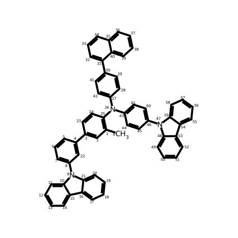 Cc1cc(-c2cccc(-n3c4ccccc4c4ccccc43)c2)ccc1N(c1ccc(-c2cccc3ccccc23)cc1)c1ccc(-n2c3ccccc3c3ccccc32)cc1